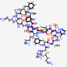 CC(C)C[C@H](NC(=O)[C@H](Cc1ccccc1)NC(=O)[C@H](CCCCN)NC(=O)CN)C(=O)N[C@@H](Cc1c[nH]cn1)C(=O)N[C@@H](CO)C(=O)N[C@@H](C)C(=O)N[C@@H](CCCCN)C(=O)N[C@@H](CCCCN)C(=O)N[C@@H](Cc1ccccc1)C(=O)NCC(=O)N[C@@H](CCCCN)C(=O)N[C@@H](C)C(=O)N[C@@H](Cc1ccccc1)C(=O)N[C@H](C(=O)NCC(=O)N[C@@H](CCC(=O)O)C(=O)O)C(C)C